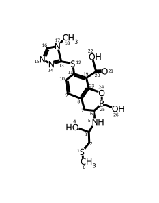 CSCC(O)N[C@H]1Cc2ccc(Sc3nncn3C)c(C(=O)O)c2OB1O